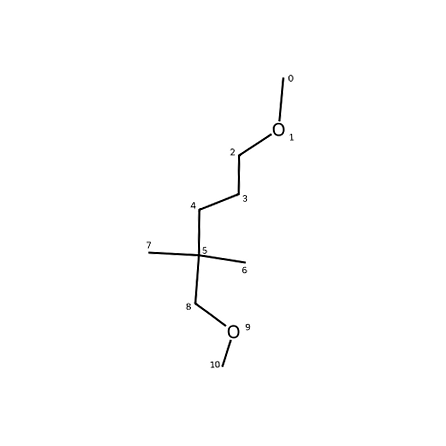 COCCCC(C)(C)COC